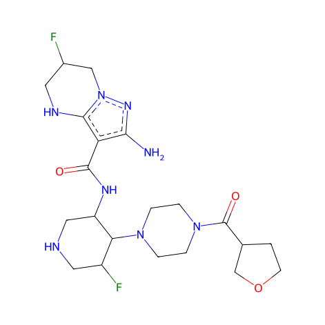 Nc1nn2c(c1C(=O)NC1CNCC(F)C1N1CCN(C(=O)C3CCOC3)CC1)NCC(F)C2